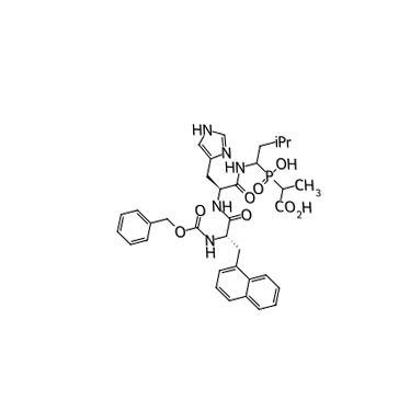 CC(C)CC(NC(=O)[C@H](Cc1c[nH]cn1)NC(=O)[C@H](Cc1cccc2ccccc12)NC(=O)OCc1ccccc1)P(=O)(O)C(C)C(=O)O